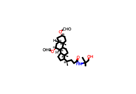 C[C@H](CCC(=O)NC(C)(C)CO)C1CCC2[C@H]3C(CC[C@@]21C)[C@@]1(C)CC[C@@H](OC=O)C[C@H]1C[C@@H]3OC=O